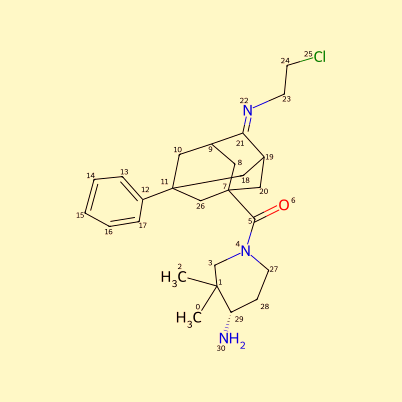 CC1(C)CN(C(=O)C23CC4CC(c5ccccc5)(CC(C2)C4=NCCCl)C3)CC[C@@H]1N